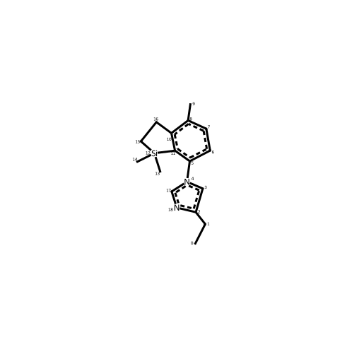 CCc1cn(-c2ccc(C)c3c2[Si](C)(C)CC3)cn1